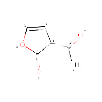 CC(=O)C1C=COC1=O